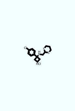 Cl.Clc1ccc(C2(NCC3SCCCS3)CCC2)cc1